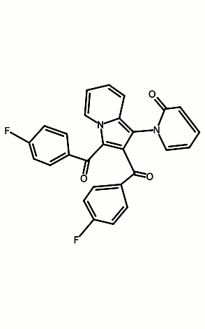 O=C(c1ccc(F)cc1)c1c(-n2ccccc2=O)c2ccccn2c1C(=O)c1ccc(F)cc1